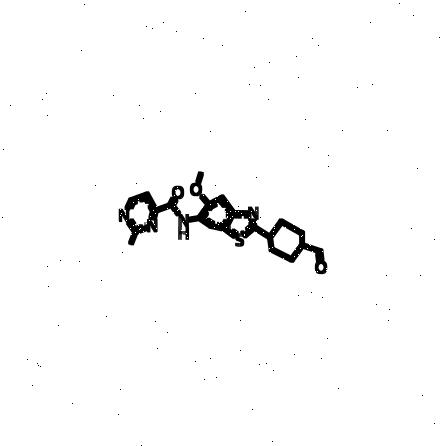 COc1cc2nc(C3CCC(C=O)CC3)sc2cc1NC(=O)c1ccnc(C)n1